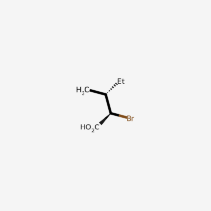 CC[C@@H](C)[C@@H](Br)C(=O)O